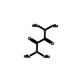 CCCCN(CCCC)C(=O)C(=O)N(CCCC)CCCC